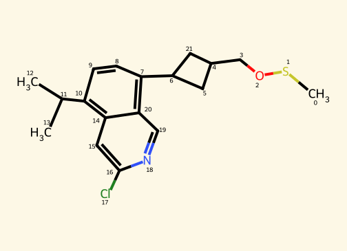 CSOCC1CC(c2ccc(C(C)C)c3cc(Cl)ncc23)C1